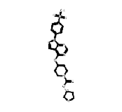 CS(=O)(=O)c1ccc(-n2ncc3c(OC4CCN(C(=O)O[C@@H]5CCOC5)CC4)ncnc32)cc1